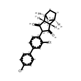 CCc1cc(-c2ccc(Cl)cc2)ccc1C1C(=O)[C@@H]2[C@H](C1=O)[C@H]1CC[C@@H]2O1